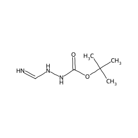 CC(C)(C)OC(=O)NNC=N